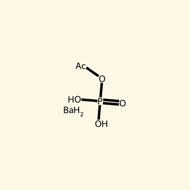 CC(=O)OP(=O)(O)O.[BaH2]